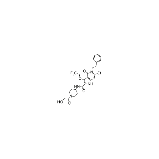 CCc1cc2[nH]c(C(=O)NC3CCN(C(=O)CO)CC3)c(OCC(F)(F)F)c2c(=O)n1CCc1ccccc1